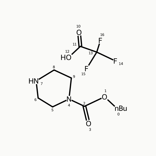 CCCCOC(=O)N1CCNCC1.O=C(O)C(F)(F)F